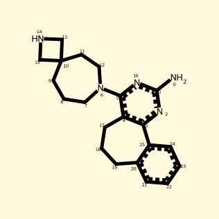 Nc1nc2c(c(N3CCCC4(CC3)CNC4)n1)CCCc1ccccc1-2